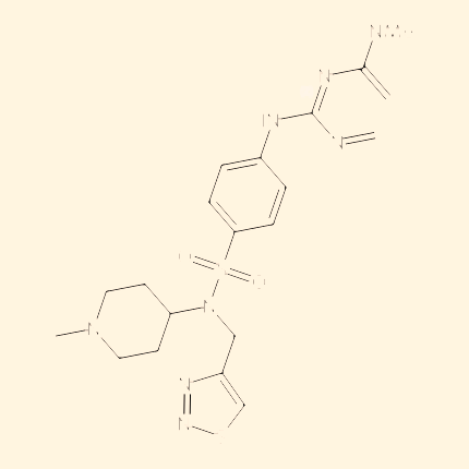 C=N/C(=N\C(=C)NC)Nc1ccc(S(=O)(=O)N(Cc2csnn2)C2CCN(C)CC2)cc1